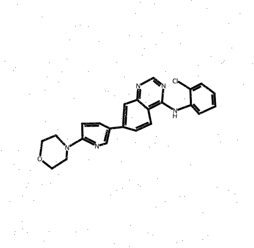 Clc1ccccc1Nc1ncnc2cc(-c3ccc(N4CCOCC4)nc3)ccc12